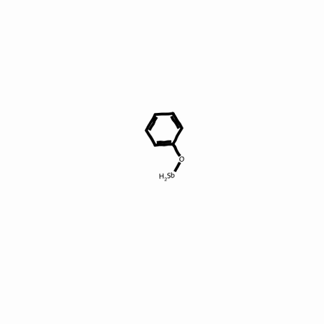 [SbH2][O]c1ccccc1